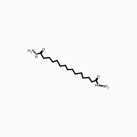 NNC(=O)CCCCCCCCCCCCCC(=O)NN